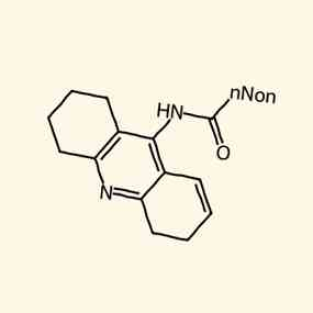 CCCCCCCCCC(=O)Nc1c2c(nc3c1CCCC3)CCC=C2